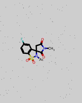 CC(=O)N1C2(CC(=O)N(C)C2=O)c2cc(F)ccc2S1(=O)=O